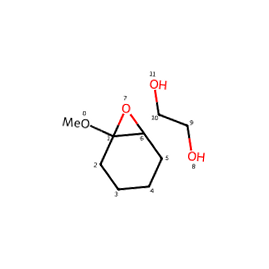 COC12CCCCC1O2.OCCO